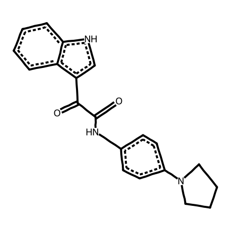 O=C(Nc1ccc(N2CCCC2)cc1)C(=O)c1c[nH]c2ccccc12